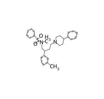 Cc1cccc(C(CCN2CCC(c3ccccc3)CC2)CN(C)S(=O)(=O)c2ccccc2)c1